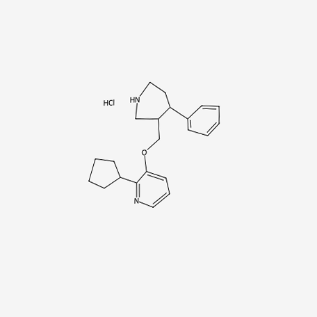 Cl.c1ccc(C2CCNCC2COc2cccnc2C2CCCC2)cc1